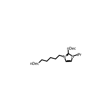 CCCCCCCCCCCCCCC[n+]1ccn(C(C)C)c1CCCCCCCCCC